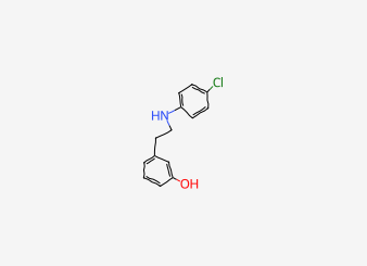 Oc1cccc(CCNc2ccc(Cl)cc2)c1